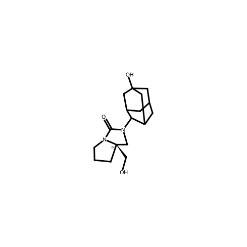 O=C1N(C2C3CC4CC2CC(O)(C4)C3)C[C@]2(CO)CCCN12